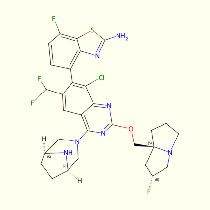 Nc1nc2c(-c3c(C(F)F)cc4c(N5C[C@H]6CC[C@@H](C5)N6)nc(OC[C@@]56CCCN5C[C@H](F)C6)nc4c3Cl)ccc(F)c2s1